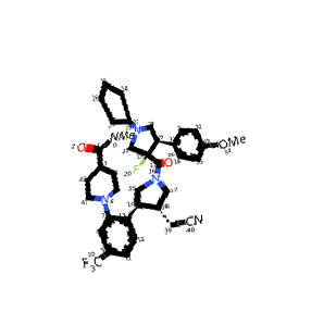 CNC(=O)C1CCN(c2cc(C(F)(F)F)ccc2[C@H]2CN(C(=O)[C@]3(F)CN(C4CCCC4)C[C@H]3c3ccc(OC)cc3)C[C@@H]2CC#N)CC1